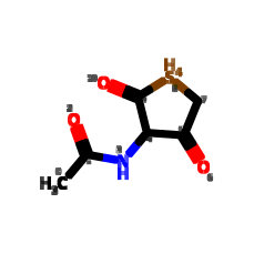 CC(=O)NC1C(=O)C[SH4]C1=O